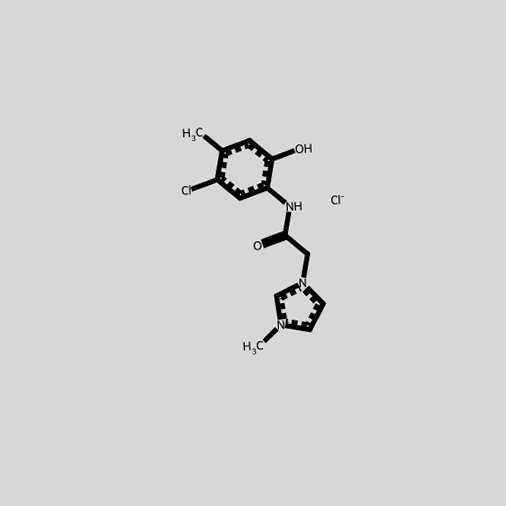 Cc1cc(O)c(NC(=O)Cn2cc[n+](C)c2)cc1Cl.[Cl-]